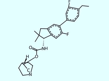 CCc1ccc(-c2cc3c(cc2F)[C@H](NC(=O)O[C@@H]2CN4CCC2CC4)C(C)(C)C3)cc1F